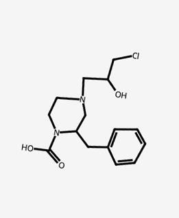 O=C(O)N1CCN(CC(O)CCl)CC1Cc1ccccc1